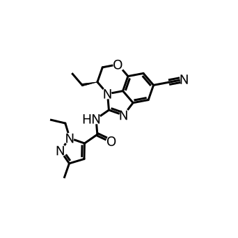 CC[C@H]1COc2cc(C#N)cc3nc(NC(=O)c4cc(C)nn4CC)n1c23